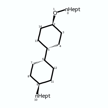 CCCCCCCO[C@H]1CC[C@H]([C@H]2CC[C@H](CCCCCCC)CC2)CC1